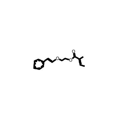 CC=C(C)C(=O)OCCOC=Cc1ccccc1